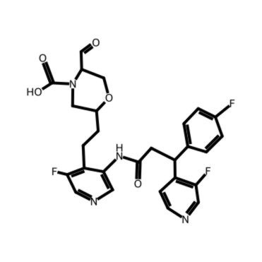 O=CC1COC(CCc2c(F)cncc2NC(=O)CC(c2ccc(F)cc2)c2ccncc2F)CN1C(=O)O